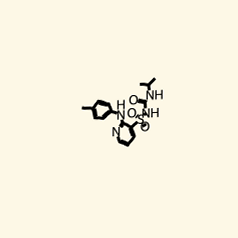 Cc1ccc(Nc2ncccc2S(=O)(=O)NC(=O)NC(C)C)cc1